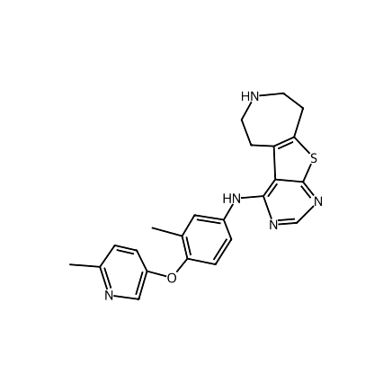 Cc1ccc(Oc2ccc(Nc3ncnc4sc5c(c34)CCNCC5)cc2C)cn1